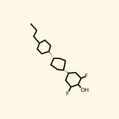 CCCC1CCC([C@H]2CC[C@@H](C3CC(F)C(O)C(F)C3)CC2)CC1